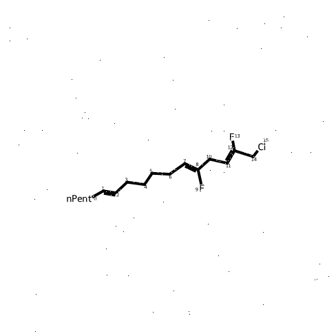 CCCCCC=CCCCCC=C(F)CC=C(F)CCl